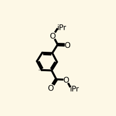 CC(C)OC(=O)c1[c]ccc(C(=O)OC(C)C)c1